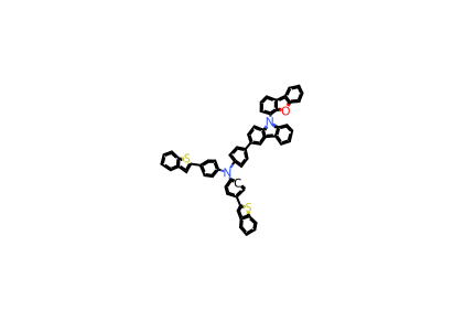 c1ccc2sc(-c3ccc(N(c4ccc(-c5ccc6c(c5)c5ccccc5n6-c5cccc6c5oc5ccccc56)cc4)c4ccc(-c5cc6ccccc6s5)cc4)cc3)cc2c1